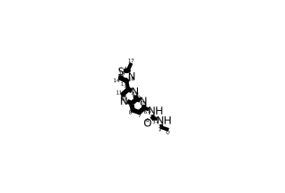 CCNC(=O)Nc1ccc2ncc(-c3csc(C)n3)nc2n1